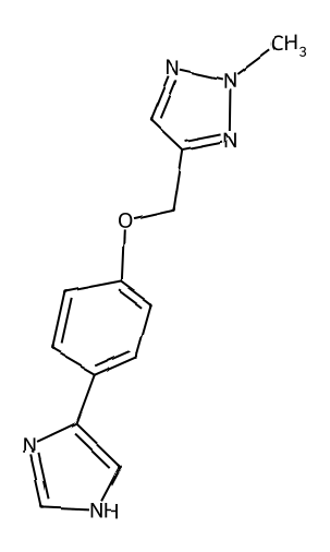 Cn1ncc(COc2ccc(-c3c[nH]cn3)cc2)n1